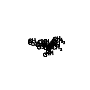 COc1ccc(COC(=O)C2(CCl)CS[C@@H]3C(NC(=O)C(=NOC(C)(C)NC(=O)OC(C)(C)C)c4csc(NC=O)n4)C(=O)N3C2)cc1